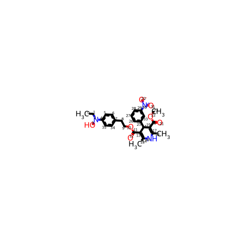 CCN(O)c1ccc(CCOC(=O)C2=C(C)NC(C)=C(C(=O)OC)C2c2cccc([N+](=O)[O-])c2)cc1